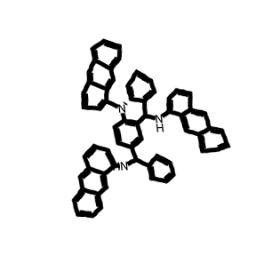 CN(c1ccc(C(Nc2cccc3cc4ccccc4cc23)c2ccccc2)cc1C(Nc1cccc2cc3ccccc3cc12)c1ccccc1)c1cccc2cc3ccccc3cc12